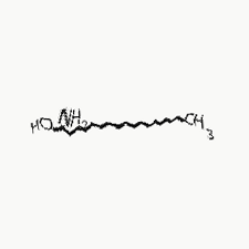 CCCCCCCCCCCCCCCCCCC(N)CO